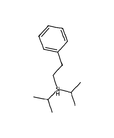 CC(C)[SiH](CCc1ccccc1)C(C)C